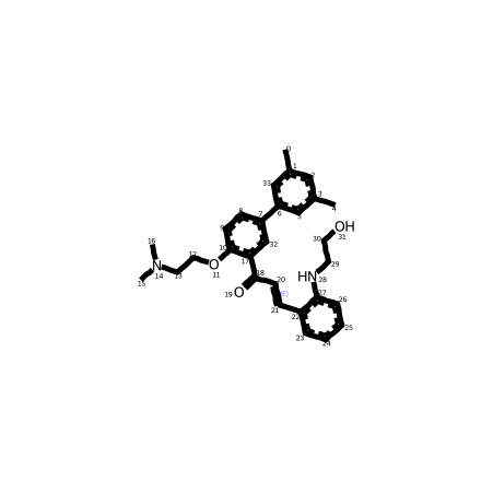 Cc1cc(C)cc(-c2ccc(OCCN(C)C)c(C(=O)/C=C/c3ccccc3NCCO)c2)c1